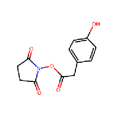 O=C(Cc1ccc(O)cc1)ON1C(=O)CCC1=O